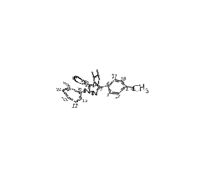 Cc1ccc(-c2nn(-c3ccccc3)c(=O)[nH]2)cc1